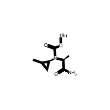 CC1C[C@@H]1N(C(=O)OC(C)(C)C)[C@@H](C)C(N)=O